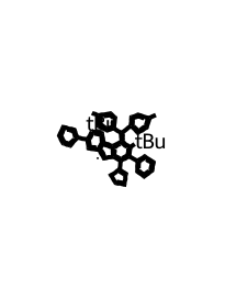 Cc1ccc(C(c2ccc(C)cc2)=c2c(C(C)(C)C)c(-c3ccccc3)c(C3=CC=CC3)c3c2=c2cc(C(C)(C)C)c(-c4ccccc4)cc2=[C]3)cc1